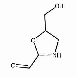 O=CC1NCC(CO)O1